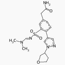 CN(C)C=NS(=O)(=O)c1cc(CC(N)=O)ccc1-c1cnn(C2CCOC2)c1